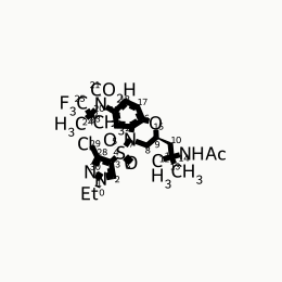 CCn1cc(S(=O)(=O)N2C[C@H](CC(C)(C)NC(C)=O)Oc3ccc(N(C(=O)O)C(C)(C)C(F)(F)F)cc32)c(Cl)n1